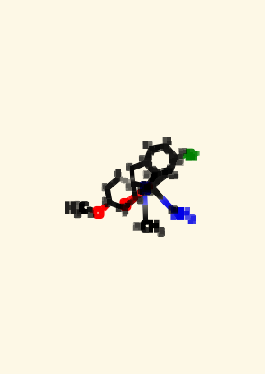 CO[C@H]1CC[C@]2(CC1)Cc1ccc(Br)cc1[C@@]21N=C(N)N(C)C1=O